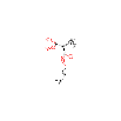 C=C(C(=O)O)C(=O)OCC=CC